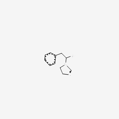 CCCC(Cc1ccccc1)N1C=NCC1